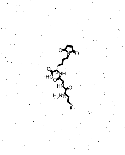 CSCC[C@H](N)C(=O)NCC(=O)N[C@@H](CCCCN1C(=O)C=CC1=O)C(=O)O